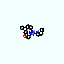 c1ccc(C2=NC(c3cccc4oc5ccc(-c6ccccc6-c6ccccc6)cc5c34)=NC(c3ccc4ccc5ccccc5c4c3)N2)cc1